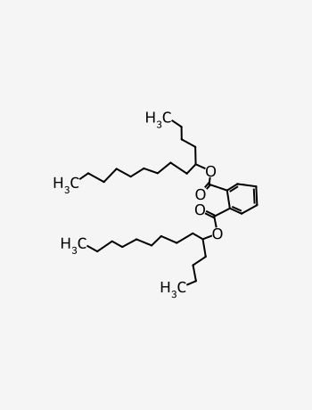 CCCCCCCCCC(CCCC)OC(=O)c1ccccc1C(=O)OC(CCCC)CCCCCCCCC